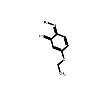 CCOC1=CC(=N)/C(=N\O)C=C1